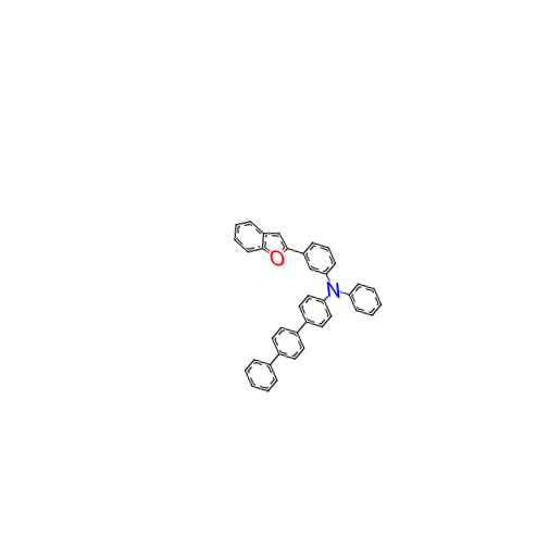 c1ccc(-c2ccc(-c3ccc(N(c4ccccc4)c4cccc(-c5cc6ccccc6o5)c4)cc3)cc2)cc1